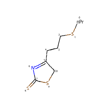 CCCSCCCC1=NC(=S)SC1